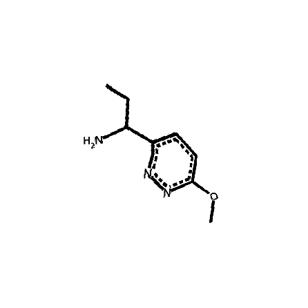 CCC(N)c1ccc(OC)nn1